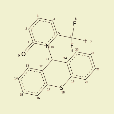 O=c1cccc(C(F)(F)F)n1C1c2ccccc2Sc2ccccc21